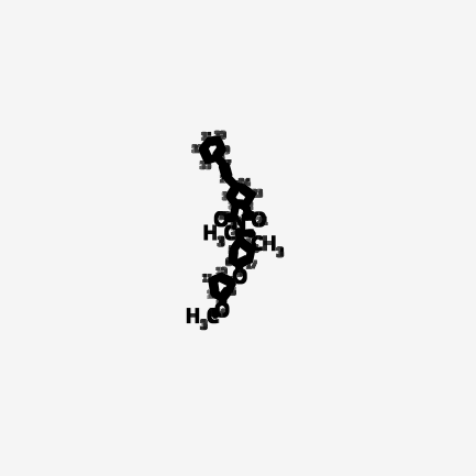 CCC(C)(c1ccc(Oc2cccc(OC)c2)cc1)N1C(=O)c2ccc(C#Cc3ccccc3)cc2C1=O